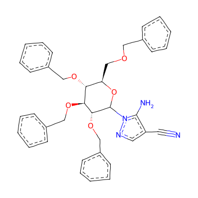 N#Cc1cnn(C2O[C@H](COCc3ccccc3)[C@@H](OCc3ccccc3)[C@H](OCc3ccccc3)[C@H]2OCc2ccccc2)c1N